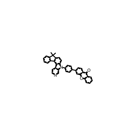 CC1(C)c2ccccc2-c2c1ccc1c2c2ccncc2n1-c1ccc(-c2ccc3c(=O)c4ccccc4oc3c2)cc1